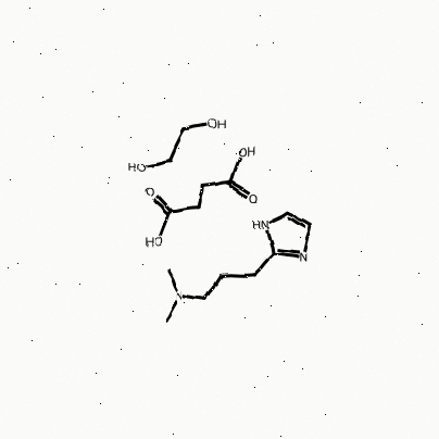 CN(C)CCCc1ncc[nH]1.O=C(O)CCC(=O)O.OCCO